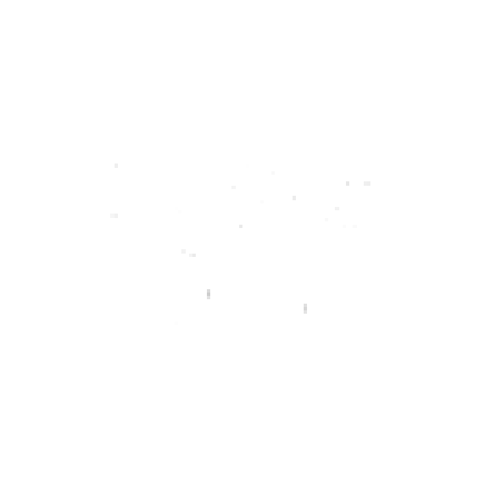 O=S(=O)(Oc1ccc(SC2CCCCC2)cc1)C(F)(F)C(F)(F)C1CC2CCC1C2.c1ccc(Sc2ccccc2)cc1